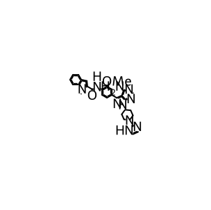 COc1cc(-c2nn(C3CCN(c4ncc[nH]4)CC3)c3ncnc(N)c23)ccc1NC(=O)c1cc2ccccc2n1C